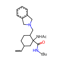 C=CC1CCC(CN2Cc3ccccc3C2)C(NC(C)=O)(C(=O)NC(C)(C)C)C1